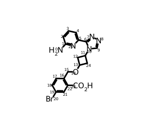 Nc1cccc(-c2nncn2C2CC(OCc3ccc(Br)cc3C(=O)O)C2)n1